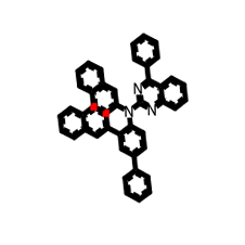 c1ccc(-c2ccc(N(c3ccc4ccccc4c3)c3nc(-c4ccccc4)c4ccccc4n3)c(-c3ccc4ccccc4c3)c2)cc1